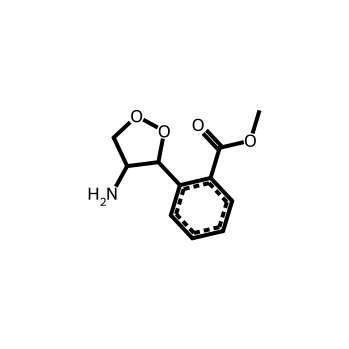 COC(=O)c1ccccc1C1OOCC1N